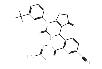 C/C(N)=N\OC(=O)c1cc(C#N)ccc1C1C2=C(CCC2=O)N(c2cccc(C(F)(F)F)c2)C(=O)N1C